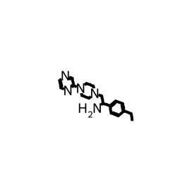 CCc1ccc(C(N)CN2CCN(c3cnccn3)CC2)cc1